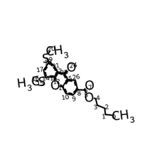 CCCCCOC(=O)c1ccc2oc3c(SC)cc(SC)cc3c(=O)c2c1